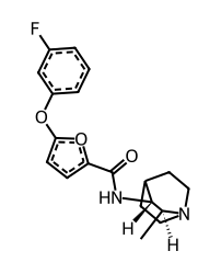 C[C@H]1[C@H](NC(=O)c2ccc(Oc3cccc(F)c3)o2)C2CCN1CC2